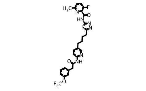 Cc1ccc(F)c(C(=O)Nc2nnc(CCCCc3ccc(NC(=O)Cc4cccc(OC(F)(F)F)c4)nc3)s2)n1